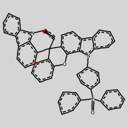 O=P(c1ccccc1)(c1ccccc1)c1ccc(-n2c3ccccc3c3ccc4c(c32)Oc2ccccc2C42c3ccccc3-n3c4ccccc4c4cccc2c43)cc1